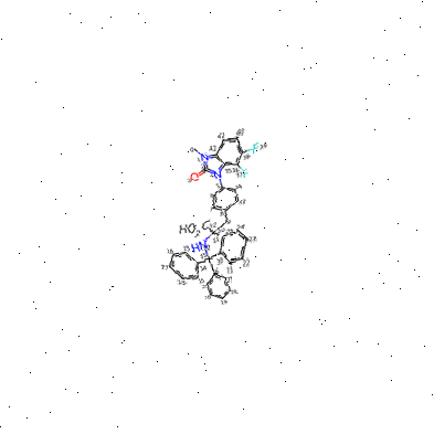 Cn1c(=O)n(-c2ccc(CC(C)(NC(c3ccccc3)(c3ccccc3)c3ccccc3)C(=O)O)cc2)c2c(F)c(F)ccc21